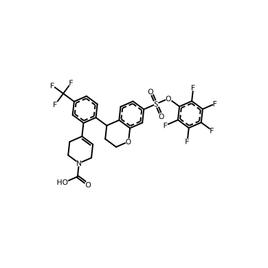 O=C(O)N1CC=C(c2cc(C(F)(F)F)ccc2C2CCOc3cc(S(=O)(=O)Oc4c(F)c(F)c(F)c(F)c4F)ccc32)CC1